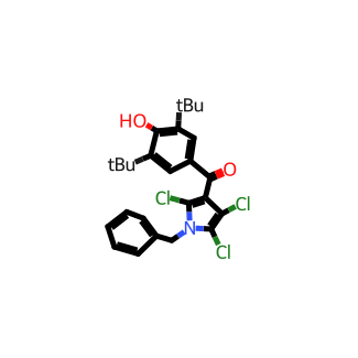 CC(C)(C)c1cc(C(=O)c2c(Cl)c(Cl)n(Cc3ccccc3)c2Cl)cc(C(C)(C)C)c1O